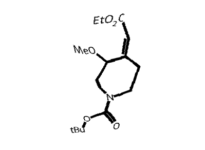 CCOC(=O)/C=C1/CCN(C(=O)OC(C)(C)C)CC1OC